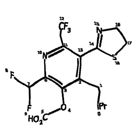 CC(C)Cc1c(OC(=O)O)c(C(F)F)nc(C(F)(F)F)c1C1=NCCS1